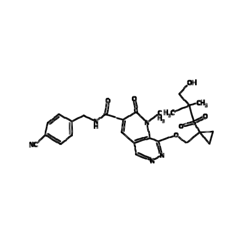 Cn1c(=O)c(C(=O)NCc2ccc(C#N)cc2)cc2cnnc(OCC3(S(=O)(=O)C(C)(C)CO)CC3)c21